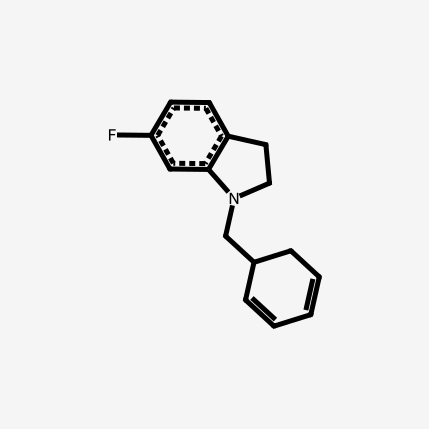 Fc1ccc2c(c1)N(CC1C=CC=CC1)CC2